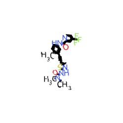 CCN(C)C(=O)Nc1ncc(C#Cc2cc(NC(=O)c3cc(C(F)(F)F)ccn3)ccc2C)s1